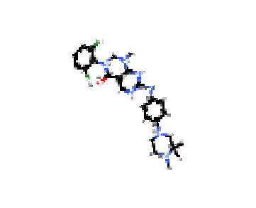 CN1CN(c2c(Cl)cccc2Cl)C(=O)c2cnc(Nc3ccc(N4CCN(C)C(C)(C)C4)cc3)nc21